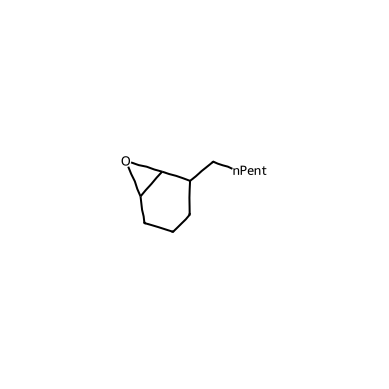 CCCCCCC1CCCC2OC12